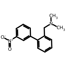 CN(C)Cc1ccccc1-c1cccc([N+](=O)[O-])c1